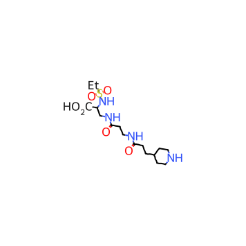 CCS(=O)(=O)NC(CNC(=O)CCNC(=O)CCC1CCNCC1)C(=O)O